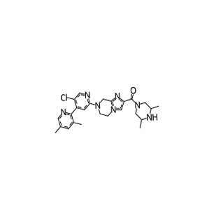 Cc1cnc(-c2cc(N3CCn4cc(C(=O)N5CC(C)NC(C)C5)nc4C3)ncc2Cl)c(C)c1